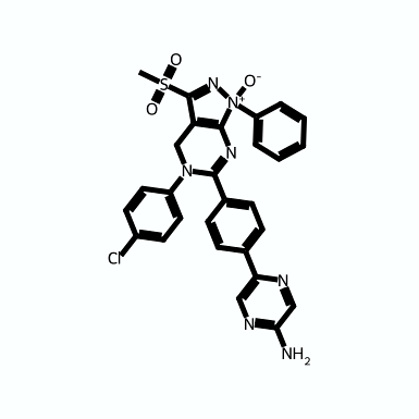 CS(=O)(=O)C1=N[N+]([O-])(c2ccccc2)C2=C1CN(c1ccc(Cl)cc1)C(c1ccc(-c3cnc(N)cn3)cc1)=N2